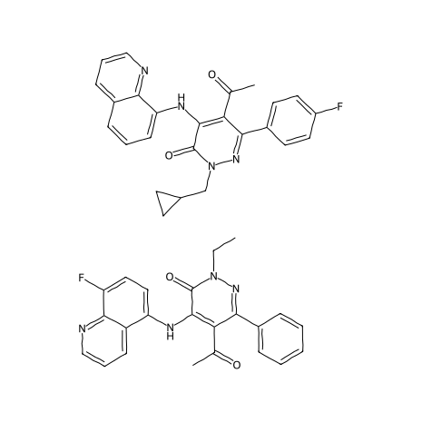 CC(=O)c1c(-c2ccc(F)cc2)nn(CC2CC2)c(=O)c1Nc1cccc2cccnc12.CCn1nc(-c2ccccc2)c(C(C)=O)c(Nc2ccc(F)c3ncccc23)c1=O